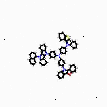 c1ccc2c(-n3c4ccccc4c4c3c3ccccc3n4-c3ccc(N(c4ccc(-n5c6ccccc6c6oc7ccccc7c65)cc4)c4ccc(-n5c6ccccc6c6sc7ccccc7c65)cc4)cc3)cccc2c1